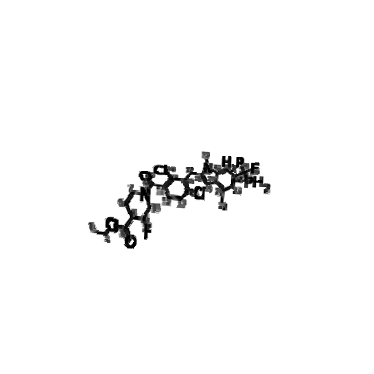 CCOC(=O)C1CCN(C(=O)c2ccc(Cl)c(Cc3cc4c(C)cc(C(F)(P)P)cc4n3C)c2Cl)CC1F